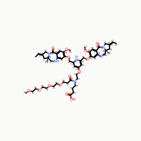 C/C=C1\C[C@H]2CNc3cc(OCC4C=C(OCCN(CCCC(=O)O)C(=O)CCOCCOCCOCCOC)C=C(COc5cc6c(cc5OC)C(=O)N5C/C(=C/C)C[C@H]5C=N6)N4)c(OC)cc3C(=O)N2C1